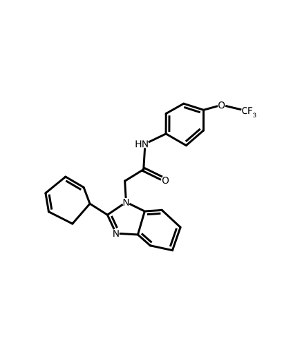 O=C(Cn1c(C2C=CC=CC2)nc2ccccc21)Nc1ccc(OC(F)(F)F)cc1